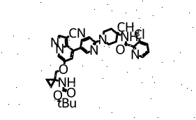 CC1(NC(=O)c2ncccc2Cl)CCN(c2ccc(-c3cc(OCC4(NC(=O)OC(C)(C)C)CC4)cn4ncc(C#N)c34)cn2)CC1